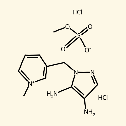 COS(=O)(=O)[O-].C[n+]1cccc(Cn2ncc(N)c2N)c1.Cl.Cl